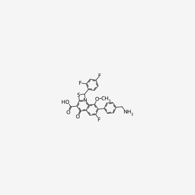 COc1c(-c2ccc(CN)cc2)c(F)cc2c(=O)c(C(=O)O)c3n(c12)C(c1ccc(F)cc1F)S3